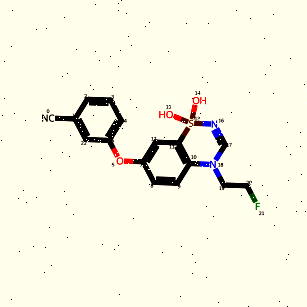 N#Cc1cccc(Oc2ccc3c(c2)S(O)(O)N=CN3CCF)c1